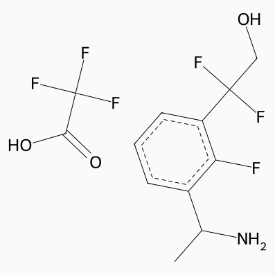 CC(N)c1cccc(C(F)(F)CO)c1F.O=C(O)C(F)(F)F